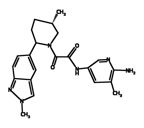 Cc1cc(NC(=O)C(=O)N2C[C@@H](C)CCC2c2ccc3nn(C)cc3c2)cnc1N